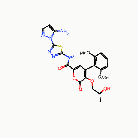 COc1cccc(OC)c1-c1cc(C(=O)Nc2nnc(-n3nccc3N)s2)oc(=O)c1OC[C@H](C)O